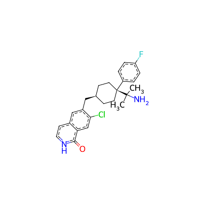 CC(C)(N)[C@]1(c2ccc(F)cc2)CC[C@H](Cc2cc3cc[nH]c(=O)c3cc2Cl)CC1